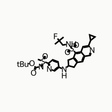 CC(C)(F)CNS(=O)(=O)c1c2c(cc3cnc(C4CC4)cc13)CC(Nc1ccc(S(C)(=O)=NC(=O)OC(C)(C)C)nc1)C2